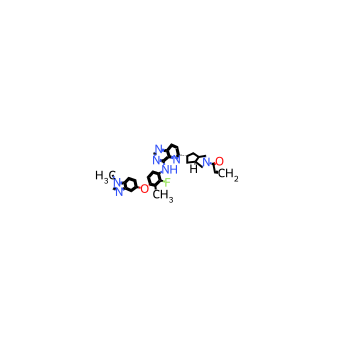 C=CC(=O)N1CC2C[C@@H](c3ccc4ncnc(Nc5ccc(Oc6ccc7c(c6)ncn7C)c(C)c5F)c4n3)C[C@@H]2C1